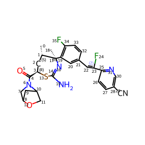 C[C@H]1C[C@H](C(=O)N2CC3CC2CO3)SC(N)=N[C@]1(C)c1cc(/C=C(\F)c2ccc(C#N)cn2)ccc1F